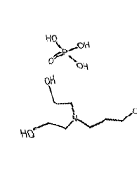 CCCCN(CCO)CCO.O=P(O)(O)O